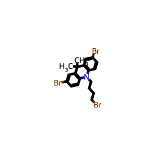 CC1(C)c2cc(Br)ccc2N(CCCCBr)c2ccc(Br)cc21